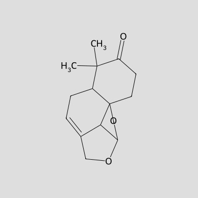 CC1(C)C(=O)CCC23COC4OCC(=CCC12)C43